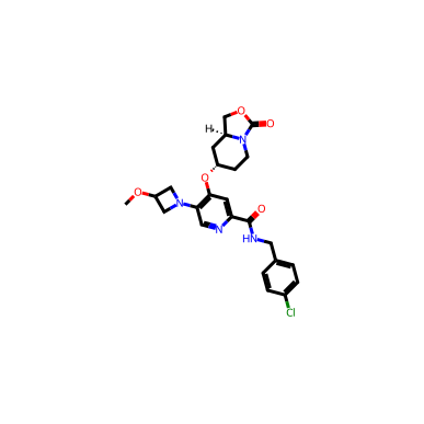 COC1CN(c2cnc(C(=O)NCc3ccc(Cl)cc3)cc2O[C@H]2CCN3C(=O)OC[C@@H]3C2)C1